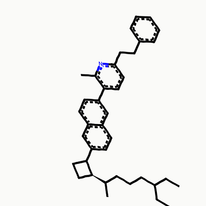 CCC(CC)CCCC(C)[C@H]1CCC1c1ccc2cc(-c3ccc(CCc4ccccc4)nc3C)ccc2c1